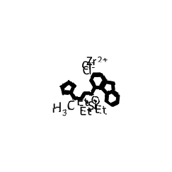 CC[Si](CC)(CC)OC(CCC(C)C1=CC=CC1)c1cccc2c1-c1ccccc1C2.[Cl-].[Cl-].[Zr+2]